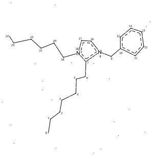 CCCCCCCc1n(Cc2ccccc2)cc[n+]1CCCCCC